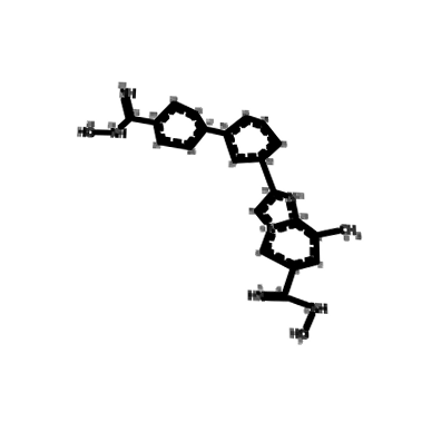 Cc1cc(C(=N)NO)cn2cc(-c3cccc(-c4ccc(C(=N)NO)cc4)c3)nc12